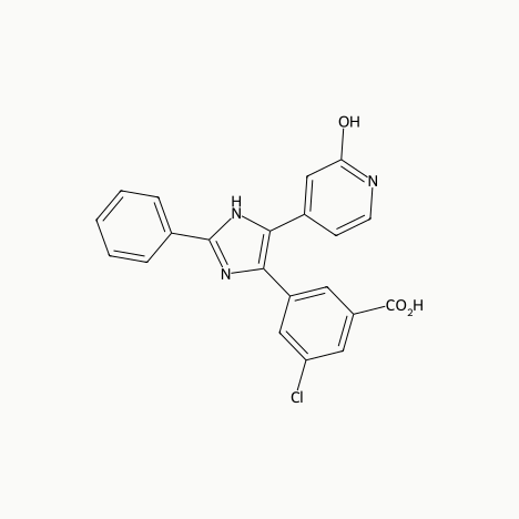 O=C(O)c1cc(Cl)cc(-c2nc(-c3ccccc3)[nH]c2-c2ccnc(O)c2)c1